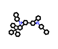 c1ccc(-c2ccc(-n3c4ccccc4c4cc(-c5ccc6c(c5)c5ccc7c(c5n6-c5ccc6ccccc6c5)-c5ccccc5C7(c5ccccc5)c5ccccc5)ccc43)cc2)cc1